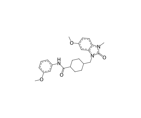 COc1cccc(NC(=O)C2CCC(Cn3c(=O)n(C)c4ccc(OC)cc43)CC2)c1